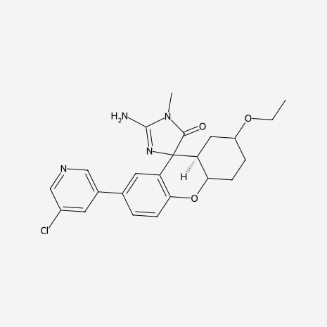 CCOC1CCC2Oc3ccc(-c4cncc(Cl)c4)cc3C3(N=C(N)N(C)C3=O)[C@H]2C1